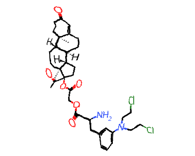 CC(=O)[C@@]1(OC(=O)COC(=O)[C@@H](N)Cc2cccc(N(CCCl)CCCl)c2)CC[C@H]2[C@@H]3CCC4=CC(=O)CC[C@]4(C)[C@H]3CC[C@@]21C